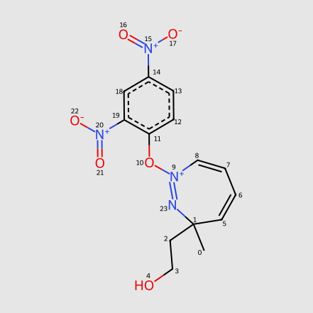 CC1(CCO)C=CC=C[N+](Oc2ccc([N+](=O)[O-])cc2[N+](=O)[O-])=N1